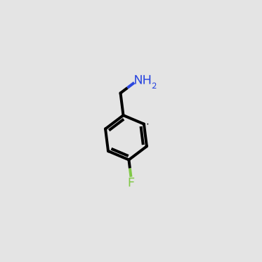 NCc1[c]cc(F)cc1